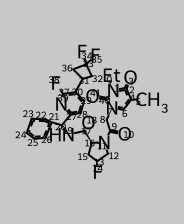 CCn1c(=O)c(C)cn(CC(=O)N2C[C@H](F)C[C@H]2C(=O)N[C@@H](c2ccccc2)c2ccc(C3CC(F)(F)C3)c(F)n2)c1=O